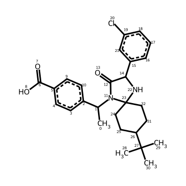 CC(c1ccc(C(=O)O)cc1)N1C(=O)C(c2cccc(Cl)c2)NC12CCC(C(C)(C)C)CC2